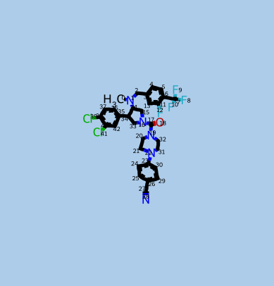 CN(Cc1ccc(C(F)(F)F)c(F)c1)C1CN(C(=O)N2CCN(c3ccc(C#N)cc3)CC2)CC1c1ccc(Cl)c(Cl)c1